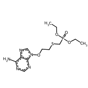 CCOP(=O)(CSCCOn1cnc2c(N)ncnc21)OCC